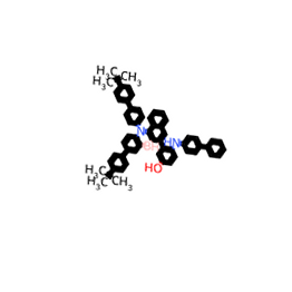 CC(C)(C)c1ccc(-c2ccc(N3c4ccc(-c5ccc(C(C)(C)C)cc5)cc4Bc4c(-c5cc(O)ccc5Nc5ccc(-c6ccccc6)cc5)cc5ccccc5c43)cc2)cc1